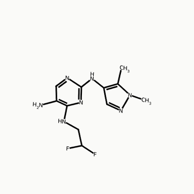 Cc1c(Nc2ncc(N)c(NCC(F)F)n2)cnn1C